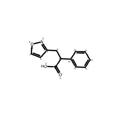 O=C(O)C(Cc1ccon1)c1ccccc1